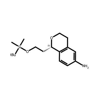 CC(C)(C)[Si](C)(C)OCC[C@@H]1OCCc2cc(N)ccc21